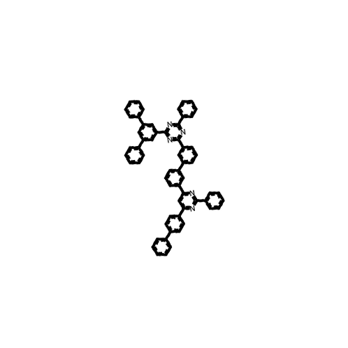 c1ccc(-c2ccc(-c3cc(-c4cccc(-c5cccc(-c6nc(-c7ccccc7)nc(-c7cc(-c8ccccc8)cc(-c8ccccc8)c7)n6)c5)c4)nc(-c4ccccc4)n3)cc2)cc1